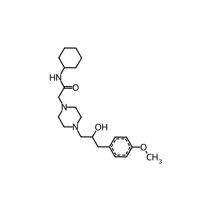 COc1ccc(CC(O)CN2CCN(CC(=O)NC3CCCCC3)CC2)cc1